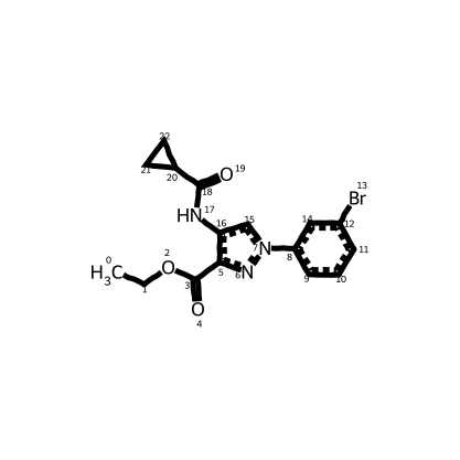 CCOC(=O)c1nn(-c2cccc(Br)c2)cc1NC(=O)C1CC1